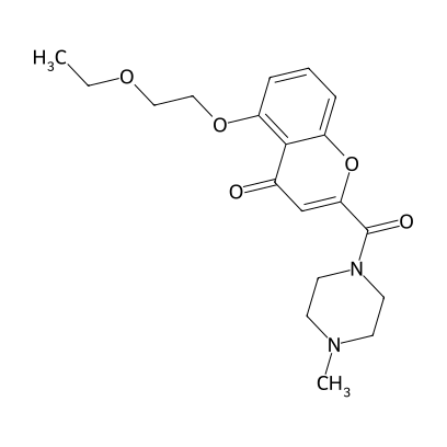 CCOCCOc1cccc2oc(C(=O)N3CCN(C)CC3)cc(=O)c12